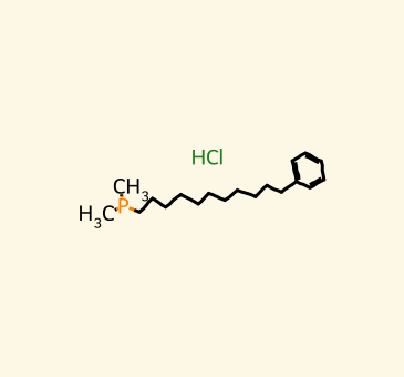 CP(C)CCCCCCCCCCCc1ccccc1.Cl